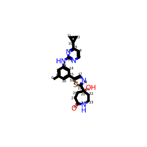 Cc1cc(Nc2nccc(C3CC3)n2)cc(-c2cnc(C3(O)CCNC(=O)CC3)s2)c1